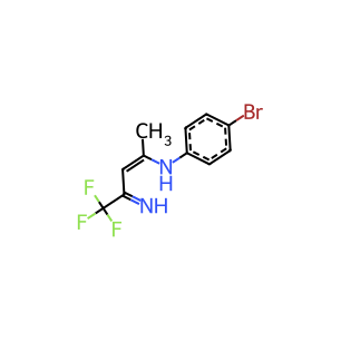 C/C(=C/C(=N)C(F)(F)F)Nc1ccc(Br)cc1